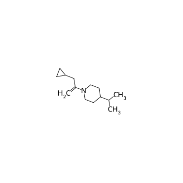 C=C(CC1CC1)N1CCC(C(C)C)CC1